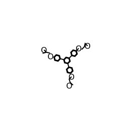 c1cc(-c2cc(-c3ccc(OCC4CO4)cc3)cc(-c3ccc(OCC4CO4)cc3)c2)ccc1OCC1CO1